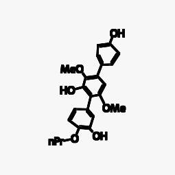 CCCOc1ccc(-c2c(OC)cc(-c3ccc(O)cc3)c(OC)c2O)cc1O